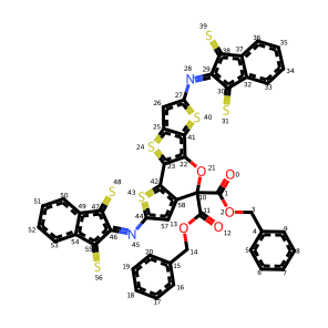 O=C(OCc1ccccc1)C1(C(=O)OCc2ccccc2)Oc2c(sc3cc(N=c4c(=S)c5ccccc5c4=S)sc23)-c2sc(N=c3c(=S)c4ccccc4c3=S)cc21